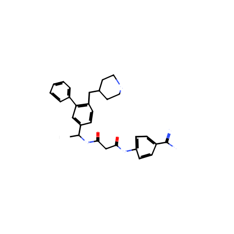 CC(NC(=O)CC(=O)Nc1ccc(C(=N)N)cc1)c1ccc(CC2CCNCC2)c(-c2ccccc2)c1